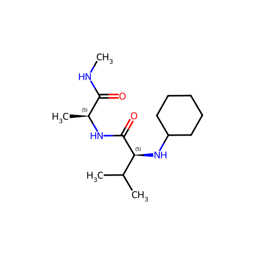 CNC(=O)[C@H](C)NC(=O)[C@@H](NC1CCCCC1)C(C)C